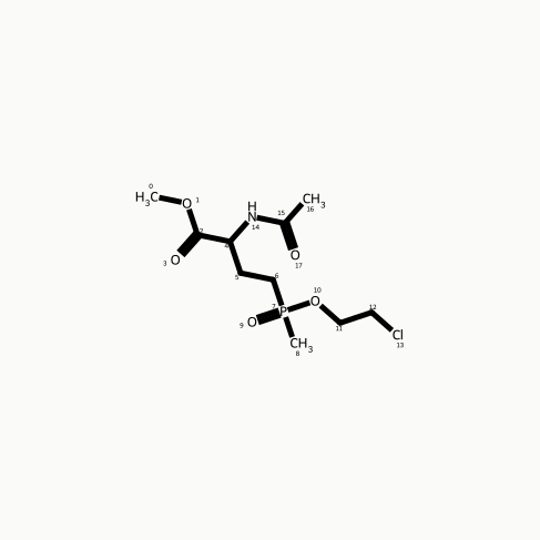 COC(=O)C(CCP(C)(=O)OCCCl)NC(C)=O